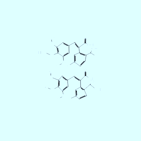 COc1cc(/C=C(/C(=O)O)c2cc(C)ccc2C(C)C)cc(OC)c1OC.COc1cc(/C=C(/C(=O)O)c2cc(C)ccc2C(C)C)cc(OC)c1OC